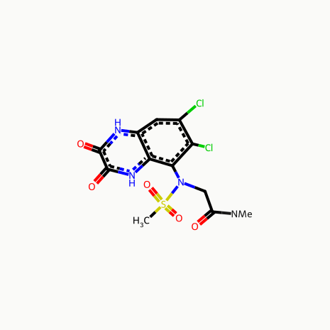 CNC(=O)CN(c1c(Cl)c(Cl)cc2[nH]c(=O)c(=O)[nH]c12)S(C)(=O)=O